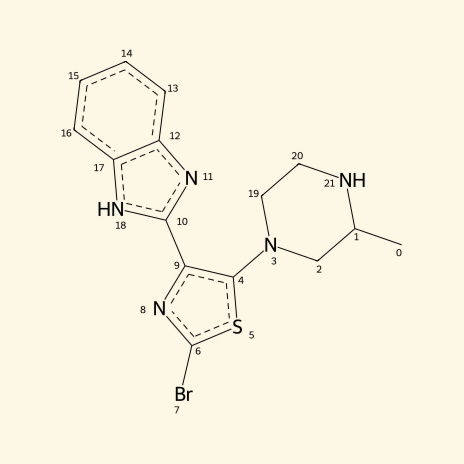 CC1CN(c2sc(Br)nc2-c2nc3ccccc3[nH]2)CCN1